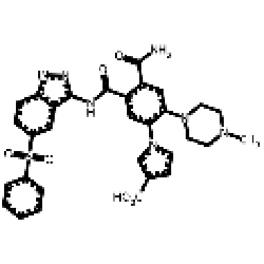 CN1CCN(c2cc(C(N)=O)c(C(=O)Nc3n[nH]c4ccc(S(=O)(=O)c5ccccc5)cc34)cc2-n2ccc(C(=O)O)c2)CC1